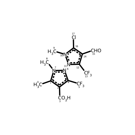 Cc1c(C(=O)O)c(C(F)(F)F)nn1C.Cn1nc(C(F)(F)F)c(C=O)c1Cl